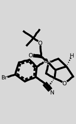 CC(C)(C)OC(=O)N1C[C@H]2CO[C@@H](C1)C2Oc1ccc(Br)cc1C#N